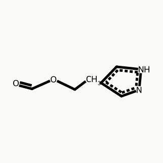 CCOC=O.c1cn[nH]c1